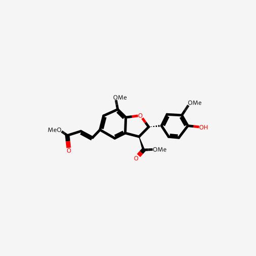 COC(=O)/C=C/c1cc(OC)c2c(c1)[C@H](C(=O)OC)[C@@H](c1ccc(O)c(OC)c1)O2